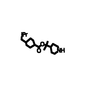 CC(C)CC1CCC(C(=O)OC(C)(C)C2CCNCC2)CC1